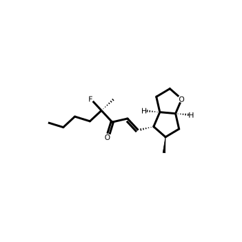 CCCC[C@@](C)(F)C(=O)C=C[C@@H]1[C@H]2CCO[C@H]2C[C@H]1C